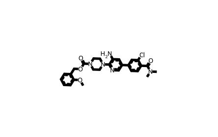 COc1ccccc1COC(=O)N1CCN(c2ncc(-c3ccc(C(=O)N(C)C)c(Cl)c3)cc2N)CC1